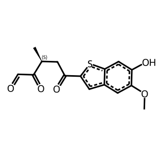 COc1cc2cc(C(=O)C[C@H](C)C(=O)C=O)sc2cc1O